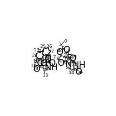 CCC(=O)O[C@@H]1[C@@H](COP(=O)(N[C@@H](C)C2OCCO2)Oc2cccc3ccccc23)O[C@@H](n2ccc(=O)[nH]c2=O)[C@]1(C)F